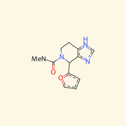 CNC(=O)N1CCc2[nH]cnc2C1c1ccco1